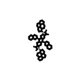 Cc1c(C)n(-c2ccc3ccc4cccc5ccc2c3c45)c2cc3c(-c4ccc5ccccc5c4)c4cc5c(C)c(C)n(-c6ccc7ccc8cccc9ccc6c7c89)c5cc4c(-c4ccc5ccccc5c4)c3cc12